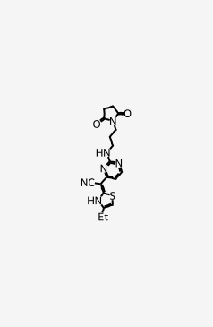 CCC1=CSC(=C(C#N)c2ccnc(NCCCN3C(=O)CCC3=O)n2)N1